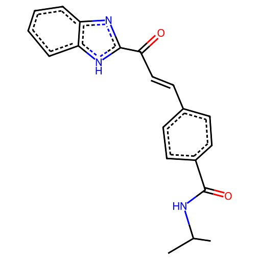 CC(C)NC(=O)c1ccc(C=CC(=O)c2nc3ccccc3[nH]2)cc1